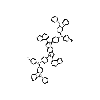 Fc1ccc(N(c2ccc(-n3c(-c4cccc5ccccc45)cc4cc5c(cc(-c6cccc7ccccc67)n5-c5ccc(N(c6ccc(F)cc6)c6ccc7c(c6)c6ccccc6n7-c6ccccc6)cc5)cc43)cc2)c2ccc3c(c2)c2ccccc2n3-c2ccccc2)cc1